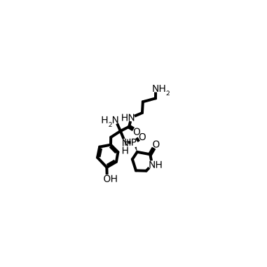 NCCCNC(=O)C(N)(Cc1ccc(O)cc1)N[PH](=O)[C@H]1CCCNC1=O